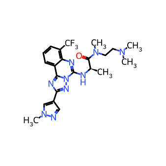 C[C@@H](Nc1nc2c(C(F)(F)F)cccc2c2nc(-c3cnn(C)c3)nn12)C(=O)N(C)CCN(C)C